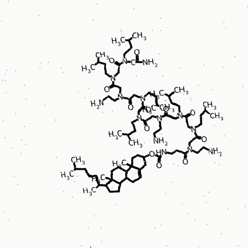 CC(C)CCCC(C)C1CCC2C3CC=C4CC(OC(=O)NCCC(=O)N(CCN)CC(=O)N(CCC(C)C)CC(=O)N(CCC(C)C)CC(=O)N(CCN)CC(=O)N(CCC(C)C)CC(=O)N(CCC(C)C)CC(=O)N(CCN)CC(=O)N(CCC(C)C)CC(=O)N(CCC(C)C)CC(N)=O)CCC4(C)C3CCC12C